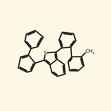 Cc1ccccc1-c1ccccc1-c1sc(-c2ccccc2-c2ccccc2)c2ccccc12